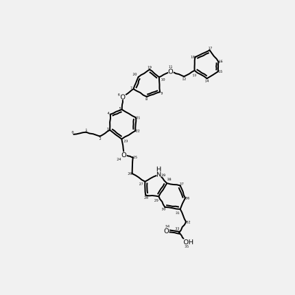 CCCc1cc(Oc2ccc(OCc3ccccc3)cc2)ccc1OCCc1cc2cc(CC(=O)O)ccc2[nH]1